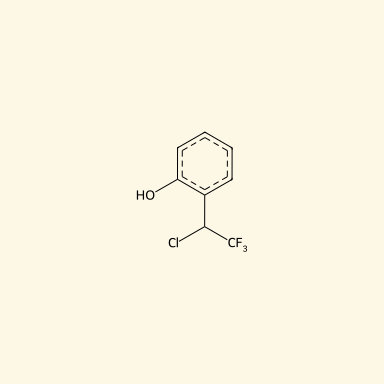 Oc1ccccc1C(Cl)C(F)(F)F